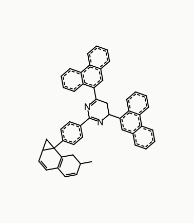 CC1C=CC2=C(C1)C1(c3ccc(C4=NC(c5cc6ccccc6c6ccccc56)CC(c5cc6ccccc6c6ccccc56)=N4)cc3)CC1C=C2